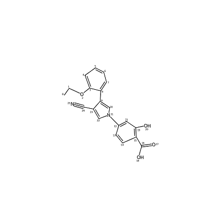 CCOc1ccccc1-c1cn(-c2ccc(C(=O)O)c(O)c2)cc1C#N